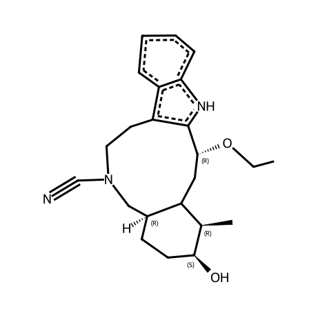 CCO[C@@H]1CC2[C@@H](CC[C@H](O)[C@@H]2C)CN(C#N)CCc2c1[nH]c1ccccc21